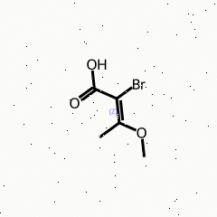 CO/C(C)=C(\Br)C(=O)O